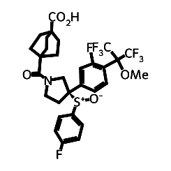 COC(c1ccc([C@]2([S+]([O-])c3ccc(F)cc3)CCN(C(=O)C34CCC(C(=O)O)(CC3)CC4)C2)cc1F)(C(F)(F)F)C(F)(F)F